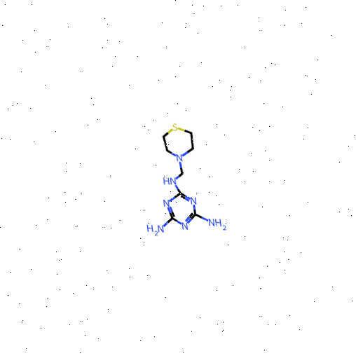 Nc1nc(N)nc(NCN2CCSCC2)n1